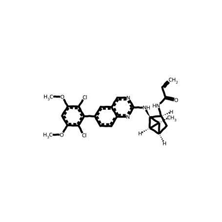 C=CC(=O)N[C@H]1C[C@H]2[C@@H]3[C@@]2(C)[C@@]13Nc1ncc2cc(-c3c(Cl)c(OC)cc(OC)c3Cl)ccc2n1